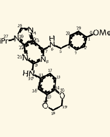 COc1ccc(CNc2nc(Nc3ccc4c(c3)OCCO4)nc3c2ncn3C(C)C)cc1